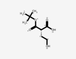 CC(C)(C)OC(=O)[C@@H](CCO)C(=O)O